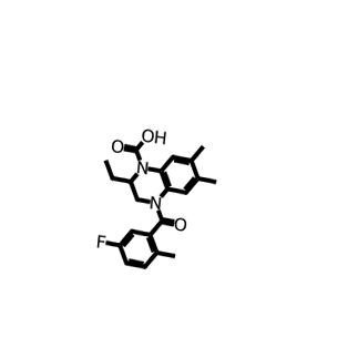 CCC1CN(C(=O)c2cc(F)ccc2C)c2cc(C)c(C)cc2N1C(=O)O